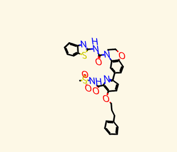 CS(=O)(=O)NC(=O)c1nc(-c2ccc3c(c2)N(C(=O)Nc2nc4ccccc4s2)CCO3)ccc1OCCCc1ccccc1